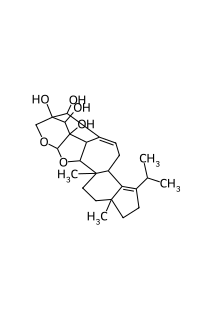 CC(C)C1=C2C3CC=C4C(O)C5(O)COC6OC(C4C6(O)C5O)C3(C)CCC2(C)CC1